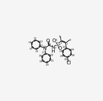 CC(=C(C)S(=O)(=O)NC(=O)N(c1ccccc1)c1ccccc1)c1ccc(Cl)cc1